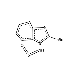 CCCCc1nc2ccccc2s1.N=S=O